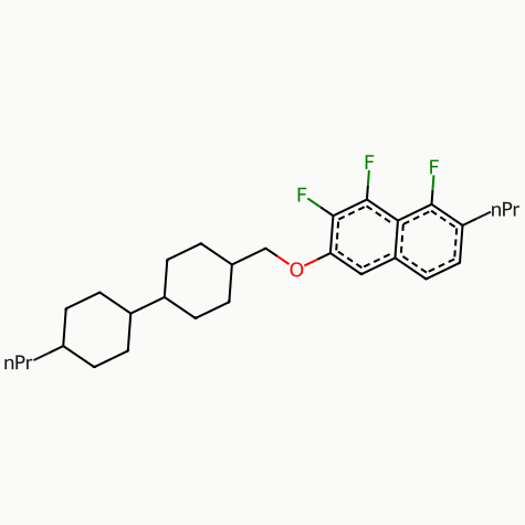 CCCc1ccc2cc(OCC3CCC(C4CCC(CCC)CC4)CC3)c(F)c(F)c2c1F